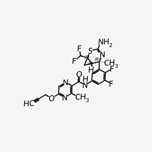 C#CCOc1cnc(C(=O)Nc2cc(F)c(F)c([C@]3(C)N=C(N)S[C@@]4(C(F)F)C[C@@H]34)c2)c(C)n1